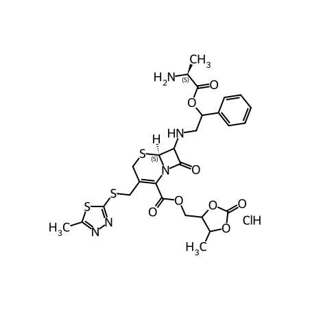 Cc1nnc(SCC2=C(C(=O)OCC3OC(=O)OC3C)N3C(=O)C(NCC(OC(=O)[C@H](C)N)c4ccccc4)[C@@H]3SC2)s1.Cl